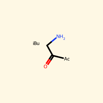 CC[C@H](C)C(N)C(=O)C(C)=O